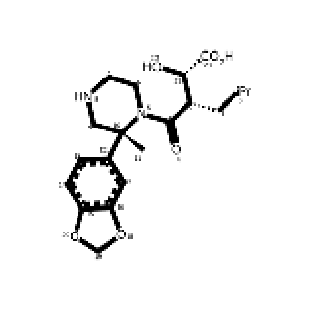 CC(C)C[C@H](C(=O)N1CCNC[C@@]1(C)c1ccc2c(c1)OCO2)[C@H](O)C(=O)O